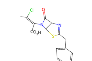 C/C(Cl)=C(\C(=O)O)N1C(=O)C2N=C(Cc3ccccc3)SC21